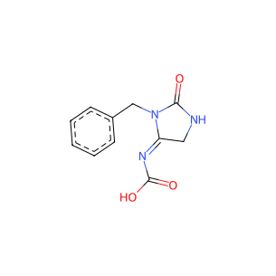 O=C(O)/N=C1\CNC(=O)N1Cc1ccccc1